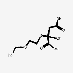 CCOCCSC(O)(CC(=O)O)C(=O)O